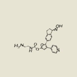 NCCNC(=O)Oc1cc(-c2ccncc2)c(-c2ccc3c(c2)CCC3=NO)o1